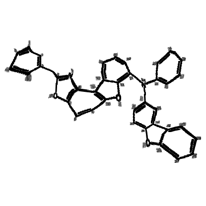 c1ccc(-c2nc3c(ccc4oc5c(N(c6ccccc6)c6ccc7oc8ccccc8c7c6)cccc5c43)o2)cc1